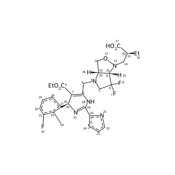 CCOC(=O)C1=C(CN2CC(F)(F)[C@@H]3[C@H]2CON3C[C@H](CC)C(=O)O)NC(c2nccs2)=N[C@H]1c1cccc(F)c1C